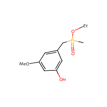 CCOP(C)(=O)Cc1cc(O)cc(OC)c1